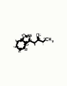 CCC(=O)Cc1noc2ccccc12